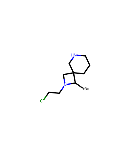 CC(C)(C)C1N(CCCl)CC12CCCNC2